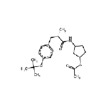 CC(=O)SC1CCC(NC(=O)[C@@H](C)Cc2ccc(OC(C)(C)C)cc2)C1